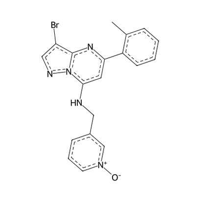 Cc1ccccc1-c1cc(NCc2ccc[n+]([O-])c2)n2ncc(Br)c2n1